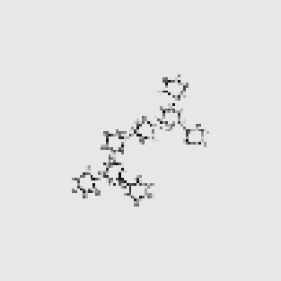 c1ccc(-c2cc(-c3ccccc3)cc(-c3ccc(-c4cccc(-c5nc(-c6ccccc6)nc(-c6ccccc6)n5)c4)cc3)c2)cc1